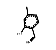 Cc1ccc(C=N)c(O)c1